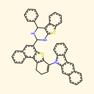 C1=C(n2c3ccccc3c3cc4ccccc4cc32)c2sc3c(C4Nc5sc6ccccc6c5C(c5ccccc5)N4)cc4ccccc4c3c2CC1